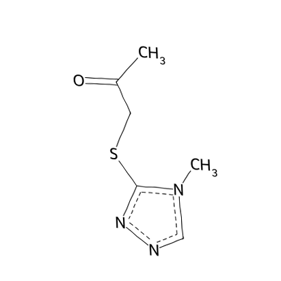 CC(=O)CSc1nncn1C